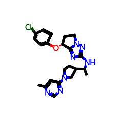 Cc1cc(N2CCC(C(C)Nc3nc4n(n3)CC[C@H]4Oc3ccc(Cl)cc3)C2)ncn1